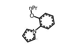 CCCOc1ccccc1-n1[c]ccc1